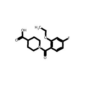 CCOc1cc(F)ccc1C(=O)N1CCC(C(=O)O)CC1